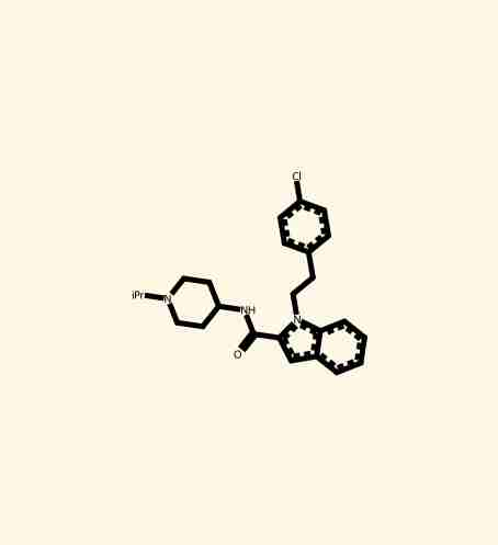 CC(C)N1CCC(NC(=O)c2cc3ccccc3n2CCc2ccc(Cl)cc2)CC1